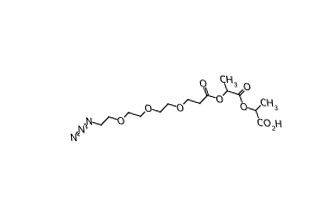 CC(OC(=O)C(C)OC(=O)CCOCCOCCOCCN=[N+]=[N-])C(=O)O